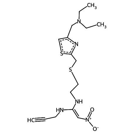 C#CCN/C(=C/[N+](=O)[O-])NCCSCc1nc(CN(CC)CC)cs1